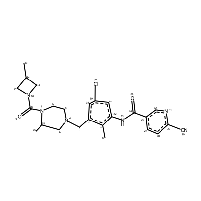 Cc1c(CN2CCN(C(=O)N3CC(C)C3)C(C)C2)cc(Cl)cc1NC(=O)c1ccc(C#N)nc1